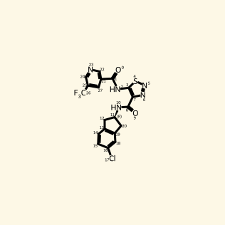 O=C(Nc1snnc1C(=O)N[C@@H]1Cc2ccc(Cl)cc2C1)c1cncc(C(F)(F)F)c1